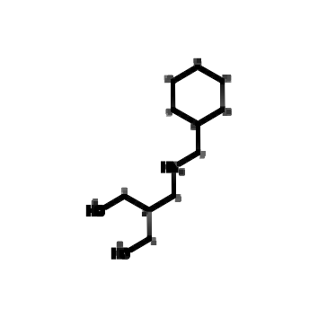 OCC(CO)CNCC1CCCCC1